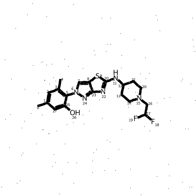 Cc1cc(C)c(-n2cc3sc(NC4CCN(CC(F)F)CC4)nc3n2)c(O)c1